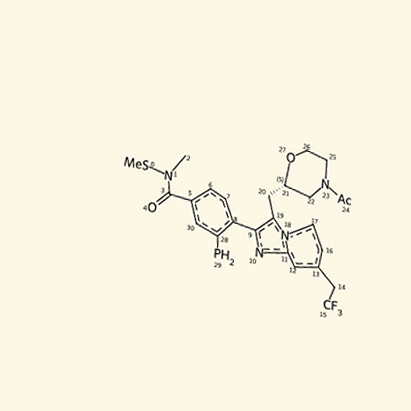 CSN(C)C(=O)c1ccc(-c2nc3cc(CC(F)(F)F)ccn3c2C[C@H]2CN(C(C)=O)CCO2)c(P)c1